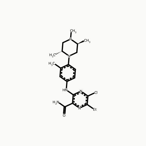 CCc1nc(C(N)=O)c(Nc2ccc(N3C[C@H](C)N(C)C[C@H]3C)c(C)c2)nc1Cl